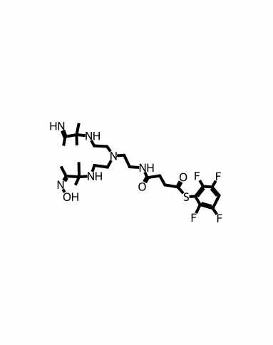 CC(=N)C(C)(C)NCCN(CCNC(=O)CCC(=O)Sc1c(F)c(F)cc(F)c1F)CCNC(C)(C)/C(C)=N\O